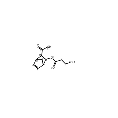 O=C(CCO)OC1C2C=CC(C2)C1C(=O)O